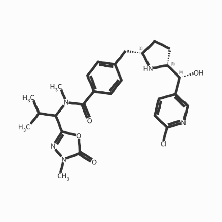 CC(C)C(c1nn(C)c(=O)o1)N(C)C(=O)c1ccc(C[C@@H]2CC[C@H]([C@H](O)c3ccc(Cl)nc3)N2)cc1